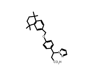 CC1(C)CCC(C)(C)c2cc(COc3ccc(C(CC(=O)O)n4cccn4)cc3)ccc21